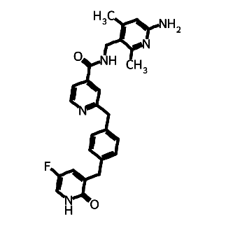 Cc1cc(N)nc(C)c1CNC(=O)c1ccnc(Cc2ccc(Cc3cc(F)c[nH]c3=O)cc2)c1